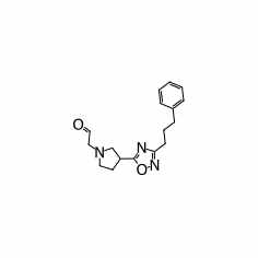 O=CCN1CCC(c2nc(CCCc3ccccc3)no2)C1